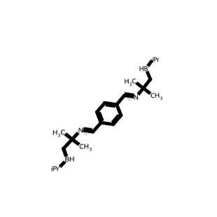 CC(C)BCC(C)(C)/N=C/c1ccc(/C=N/C(C)(C)CBC(C)C)cc1